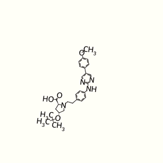 COc1ccc(-c2cnc(Nc3ccc(CCN4C[C@H](OC(C)(C)C)C[C@H]4C(=O)O)cc3)nc2)cc1